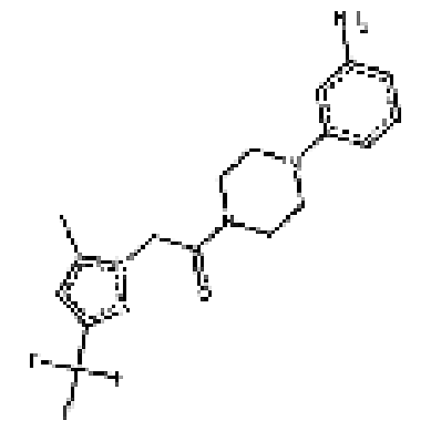 Cc1cc(C(F)(F)F)nn1CC(=O)N1CCN(c2cccc(N)c2)CC1